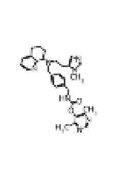 Cc1ncnc(C)c1OC(=O)NCc1ccc(CN(CCc2cncn2C)C2CCCc3cccnc32)cc1